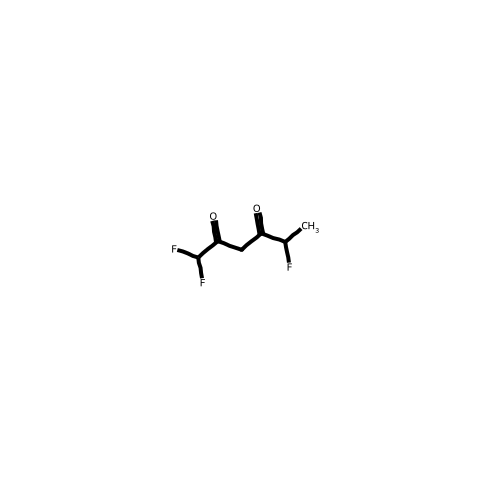 CC(F)C(=O)CC(=O)C(F)F